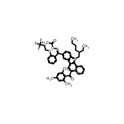 CCCCC(CC)Cn1c2ccc(/C(=N/OC(C)=O)c3ccccc3OCCC(F)(F)F)cc2c2cc(C(=O)c3c(C)cc(C)cc3C)c3ccccc3c21